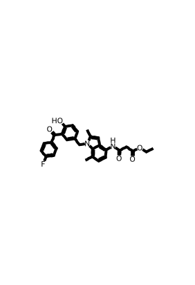 CCOC(=O)CC(=O)Nc1ccc(C)c2c1cc(C)n2Cc1ccc(O)c(C(=O)c2ccc(F)cc2)c1